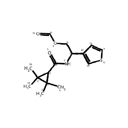 CC1(C)C(C(=O)NC(COC=O)c2ccsc2)C1(C)C